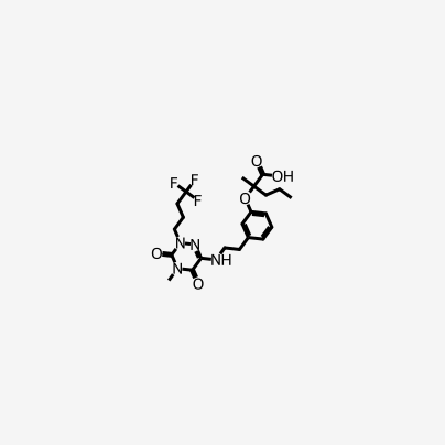 CCCC(C)(Oc1cccc(CCNc2nn(CCCC(F)(F)F)c(=O)n(C)c2=O)c1)C(=O)O